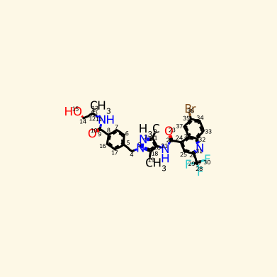 Cc1nn(Cc2ccc(C(=O)N[C@@H](C)CO)cc2)c(C)c1NC(=O)c1cc(C(F)(F)F)nc2ccc(Br)cc12